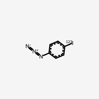 [N-]=[N+]=Nc1ccc([123I])cc1